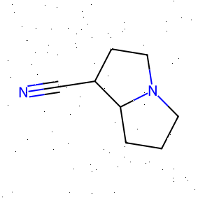 N#CC1CCN2CCCC12